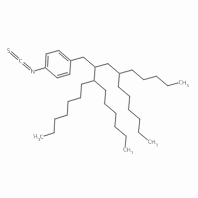 CCCCCCCC(CCCCCC)C(Cc1ccc(N=C=S)cc1)CC(CCCCC)CCCCCC